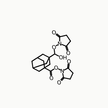 O=C1CCC(=O)N1OC(=O)C12CC3CC(C1)CC(C(O)ON1C(=O)CCC1=O)(C3)C2